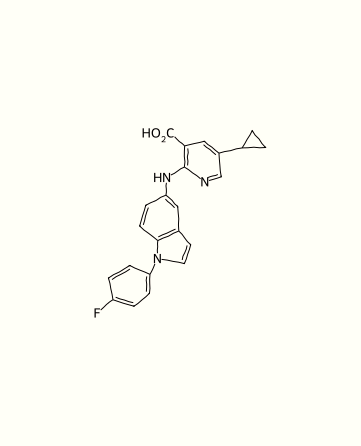 O=C(O)c1cc(C2CC2)cnc1Nc1ccc2c(ccn2-c2ccc(F)cc2)c1